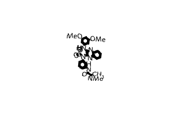 CN[C@@H](C)C(=O)Nc1cccc(N(c2nc3ccccc3nc2Nc2cc(OC)cc(OC)c2)[SH](=O)=O)c1